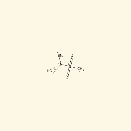 CC(C)(C)N(C(=O)O)S(C)(=O)=O